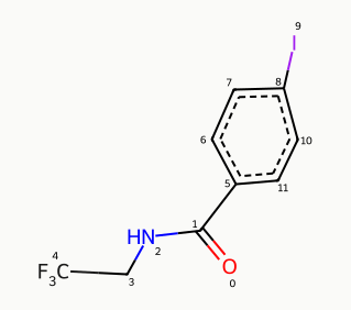 O=C(NCC(F)(F)F)c1ccc(I)cc1